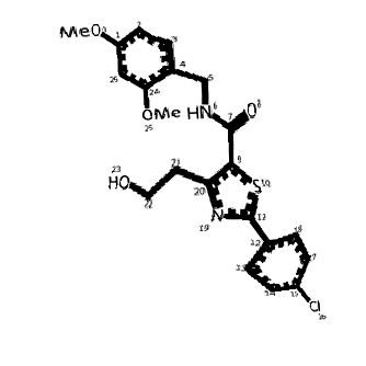 COc1ccc(CNC(=O)c2sc(-c3ccc(Cl)cc3)nc2CCO)c(OC)c1